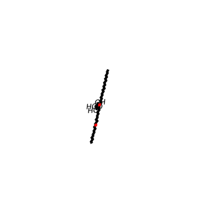 CCCCCCCCCCCCCCCCCCCCOCCCCCCCCCCCCCCCCCCCC.OCC(O)CO